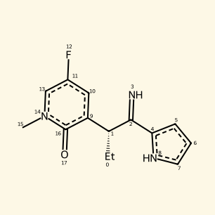 CC[C@@H](C(=N)c1ccc[nH]1)c1cc(F)cn(C)c1=O